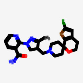 CC1=NN(c2ncccc2C(N)=O)CC1CN1CCC2(CC1)OCCc1cc(F)sc12